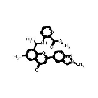 COC(=O)c1ncccc1N[C@H](C)c1cc(C)cc2c(=O)cc(-c3ccc4nn(C)cc4c3)oc12